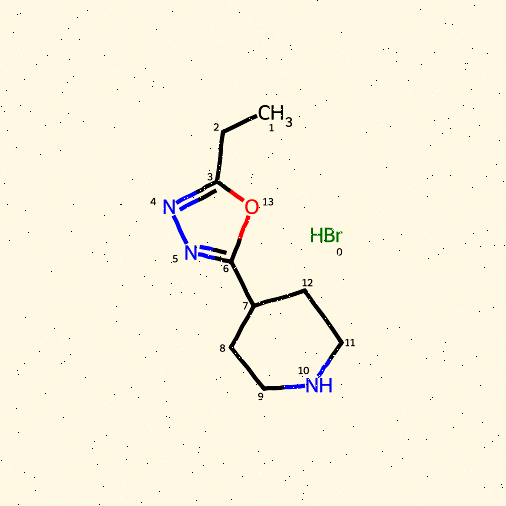 Br.CCc1nnc(C2CCNCC2)o1